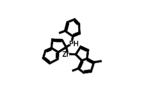 Cc1ccccc1P[C]1([Zr][CH]2C=Cc3c(C)ccc(C)c32)C=Cc2ccccc21